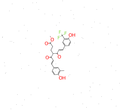 COC(=O)CCC(C(=O)/C=C/c1ccc(O)c(C)c1)C(=O)/C=C/c1ccc(O)c(C(F)(F)F)c1